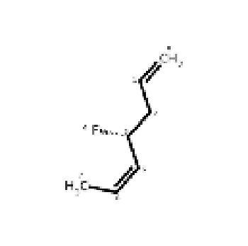 C=CC[C@@H](F)/C=C\C